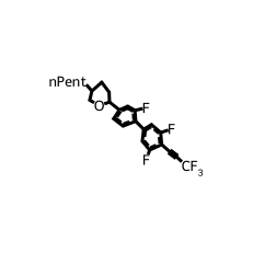 CCCCCC1CCC(c2ccc(-c3cc(F)c(C#CC(F)(F)F)c(F)c3)c(F)c2)OC1